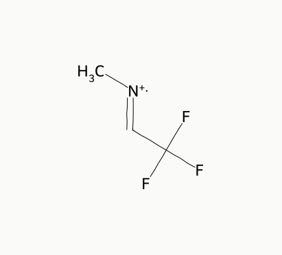 C[N+]=CC(F)(F)F